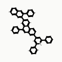 c1ccc(-c2cc(-c3ccc4c(c3)cc(-c3ccccc3)c3cc(-c5cc6ccccc6cc5-c5ccccc5)ccc34)cc(-c3ccccc3)n2)cc1